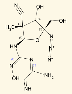 C[C@]1(C#N)[C@H](NC(=N/O)/N=C(/N)C=N)O[C@@](CO)(N=[N+]=[N-])[C@H]1O